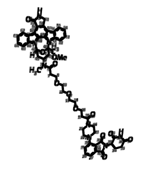 CO[C@@H]1[C@H](N(C)C(=O)CCOCCOCCOCCC(=O)N2CCN(c3cccc4c3C(=O)N(C3CCC(=O)NC3=O)C4=O)CC2)C[C@H]2O[C@]1(C)n1c3ccccc3c3c4c(c5c6ccccc6n2c5c31)C(=O)NC4